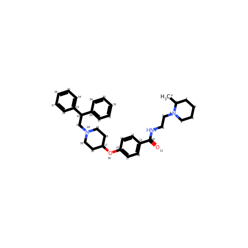 CC1CCCCN1CCNC(=O)c1ccc(OC2CCN(CC(c3ccccc3)c3ccccc3)CC2)cc1